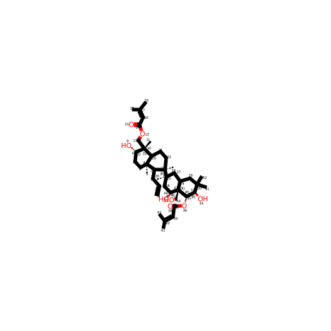 C=CCC1[C@@]2(C)CC[C@H](O)[C@](C)(COC(=O)C=C(C)C)C2CC[C@@]1(C)[C@@]1(C)CC2CC(C)(C)[C@@H](O)[C@H](OC(=O)C=C(C)C)[C@]2(CO)[C@H](O)C1